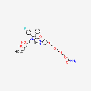 CC(C)c1c(C(=O)Nc2ccc(OCCOCCOCCOCC(N)=O)cc2)c(-c2ccccc2)c(-c2ccc(F)cc2)n1CC[C@@H](O)C[C@@H](O)CC(=O)O